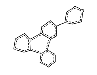 c1ccc2c(c1)c1ccccc1c1cc(-c3ccncc3)ccc21